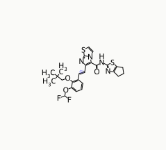 CC(C)(C)COc1c(/C=C/c2nc3sccn3c2C(=O)Nc2nc3c(s2)CCC3)cccc1OC(F)F